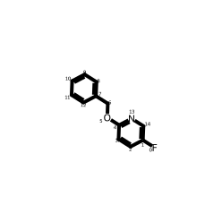 Fc1c[c]c(OCc2ccccc2)nc1